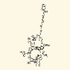 CCC(=O)N[C@H](C(=O)NCC(=O)N[C@H]1C[S+]([O-])c2[nH]c3c(CSC4CCN(C(=O)CCOCCOCCOCCOCCNC(=O)CC(C)C(=O)C(C)C)CC4)c(OC)ccc3c2C[C@@H](C(N)=O)NC(=O)[C@H]([C@@H](C)[C@@H](O)CO)NC(=O)[C@@H]2C[C@@H](O)CN2C(=O)[C@H](CCC(N)=O)NC1=O)[C@@H](C)CC